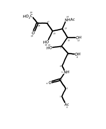 CC(=O)CCC(=O)NCC(O)C(O)C(O)C(NC(C)=O)C(O)CC(=O)C(=O)O